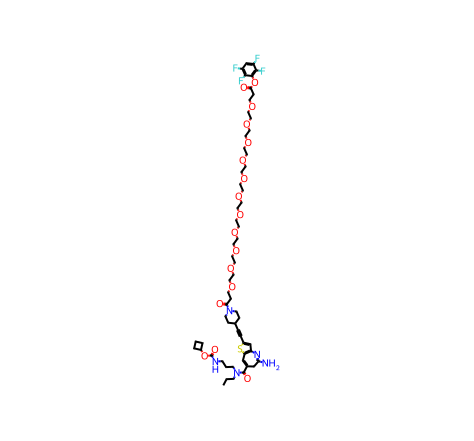 CCCN(CCCNC(=O)OC1CCC1)C(=O)C1=Cc2sc(C#CC3CCN(C(=O)CCOCCOCCOCCOCCOCCOCCOCCOCCOCCOCCOCCC(=O)Oc4c(F)c(F)cc(F)c4F)CC3)cc2N=C(N)C1